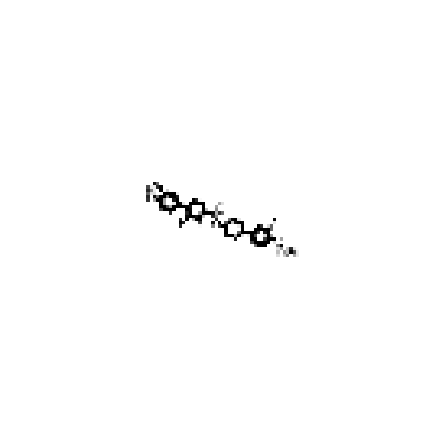 CCCCOc1ccc(C2CCC(OC(=O)c3ccc(-c4ccc(OCCC)cc4)c(F)c3F)CC2)cc1F